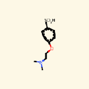 CN(C)CCOc1ccc(S(=O)(=O)O)cc1